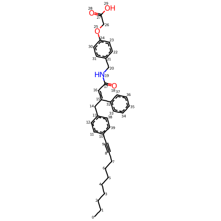 CCCCCCCCC#Cc1ccc(CC(=CC(=O)NCc2ccc(OCC(=O)O)cc2)c2ccccc2)cc1